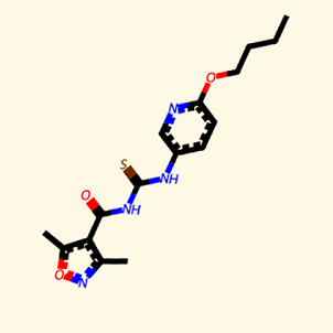 CCCCOc1ccc(NC(=S)NC(=O)c2c(C)noc2C)cn1